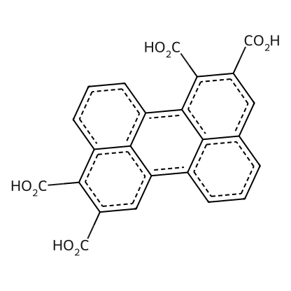 O=C(O)c1cc2c3cccc4cc(C(=O)O)c(C(=O)O)c(c5cccc(c1C(=O)O)c25)c43